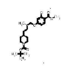 COC(=O)c1ccc(OC[C@@H](C)CCC2CCN(C(=O)OC(C)(C)C)CC2)cc1Cl